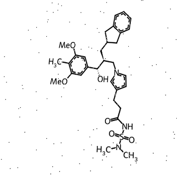 COc1cc([C@@H](O)[C@@H](CC2Cc3ccccc3C2)Cn2ccc(CCC(=O)NS(=O)(=O)N(C)C)c2)cc(OC)c1C